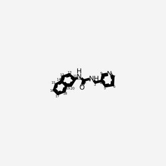 O=C(NCc1cccnc1)Nc1ccc2ccccc2c1